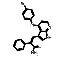 NC(=O)C(=Cc1c[nH]c2nccc(Nc3ccc(Br)cc3)c12)c1ccccc1